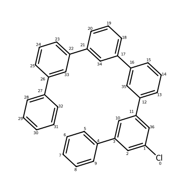 Clc1cc(-c2ccccc2)cc(-c2cccc(-c3cccc(-c4cccc(-c5ccccc5)c4)c3)c2)c1